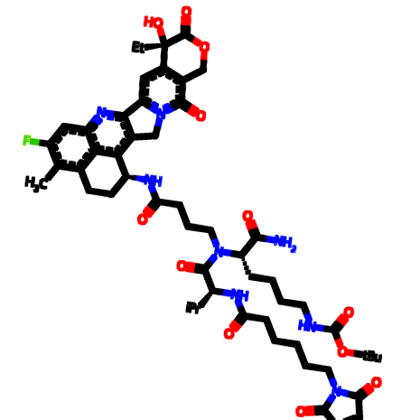 CC[C@@]1(O)C(=O)OCc2c1cc1n(c2=O)Cc2c-1nc1cc(F)c(C)c3c1c2[C@@H](NC(=O)CCCN(C(=O)[C@@H](NC(=O)CCCCCN1C(=O)C=CC1=O)C(C)C)[C@@H](CCCCNC(=O)OC(C)(C)C)C(N)=O)CC3